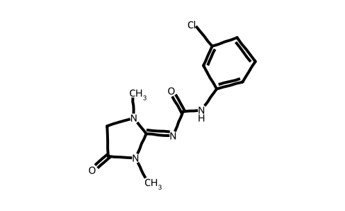 CN1CC(=O)N(C)C1=NC(=O)Nc1cccc(Cl)c1